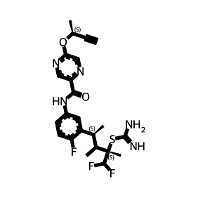 C#C[C@H](C)Oc1cnc(C(=O)Nc2ccc(F)c([C@@H](C)C(C)[C@](C)(SC(=N)N)C(F)F)c2)cn1